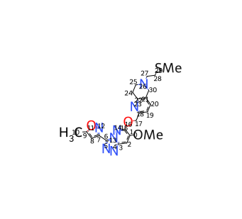 COc1cc2nnc(-c3cc(C)on3)n2nc1OCc1ccc2c(n1)CCN(CCSC)C2